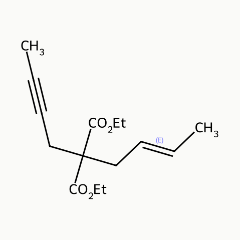 CC#CCC(C/C=C/C)(C(=O)OCC)C(=O)OCC